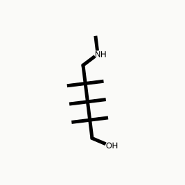 CNCC(C)(C)C(C)(C)C(C)(C)CO